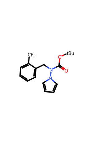 CC(C)(C)OC(=O)N(Cc1ccccc1C(F)(F)F)n1cccc1